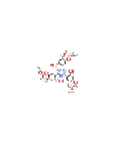 CCOC(=O)C(C)Oc1ccc(-c2nc(-c3ccc(OC(C)C(=O)OCC)cc3O)nc(-c3ccc(OC(C)C(=O)OCC)cc3O)n2)c(O)c1